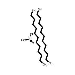 CCCCCCCCCCCCS.CCCCCCCCCCCCS.O=[PH](O)O